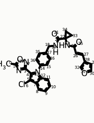 Cc1nc(-c2c(Cl)c3ccccc3n2-c2ccc(CNC(=O)C3(NC(=O)C=Cc4ccoc4)CC3)cc2)no1